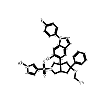 CCOC1(c2ccccc2)CC2CN(S(=O)(=O)c3cnn(C)c3)CC2(c2cc3cnn(-c4ccc(F)cc4)c3cc2C)C1